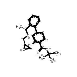 Cc1cc(-c2ccccc2[C@@H](C)OC[C@H]2CO2)ccc1C(=O)OC(C)(C)C